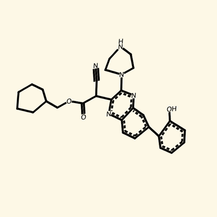 N#CC(C(=O)OCC1CCCCC1)c1nc2ccc(-c3ccccc3O)cc2nc1N1CCNCC1